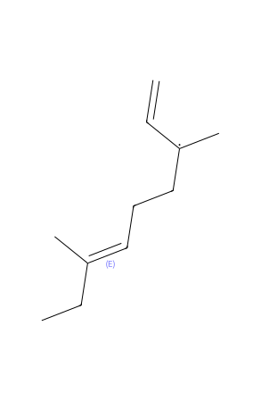 C=C[C](C)CC/C=C(\C)CC